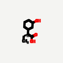 CC[C@@H](C(=O)O)C1CCCC(O)C1